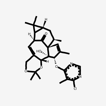 CC1=C[C@]23C(=O)[C@@H](C=C4COC(C)(C)O[C@H]4[C@]2(O)[C@H]1Oc1ncnc(Cl)c1C)C1[C@@H](C[C@H]3C)C1(C)C